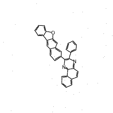 c1ccc(-c2nc3ccc4ccccc4c3nc2-c2ccc3cc4c(cc3c2)oc2ccccc24)cc1